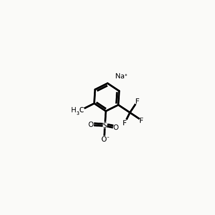 Cc1cccc(C(F)(F)F)c1S(=O)(=O)[O-].[Na+]